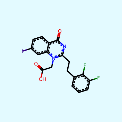 O=C(O)Cn1c(CCc2cccc(F)c2F)nc(=O)c2ccc(I)cc21